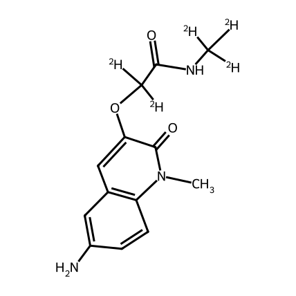 [2H]C([2H])([2H])NC(=O)C([2H])([2H])Oc1cc2cc(N)ccc2n(C)c1=O